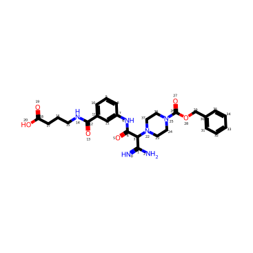 N=C(N)C(C(=O)Nc1cccc(C(=O)NCCCC(=O)O)c1)N1CCN(C(=O)OCc2ccccc2)CC1